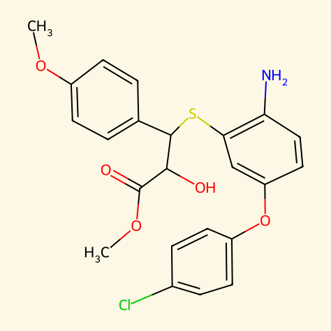 COC(=O)C(O)C(Sc1cc(Oc2ccc(Cl)cc2)ccc1N)c1ccc(OC)cc1